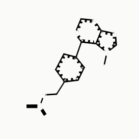 Cn1cnc2ncnc(-c3ccc(CN[SH](=O)=O)cc3)c21